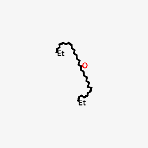 CC/C=C\C/C=C\C/C=C\CCCCCCCC(=O)CCCCCCC/C=C\C/C=C\C/C=C\CC